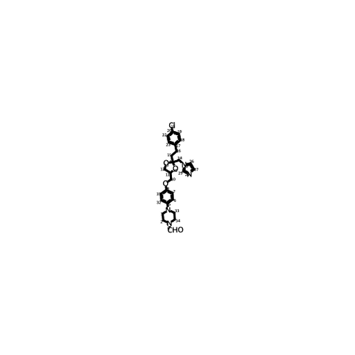 O=CN1CCN(c2ccc(OCC3COC(CCc4ccc(Cl)cc4)(Cn4ccnc4)O3)cc2)CC1